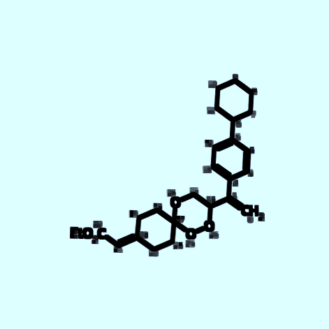 C=C(c1ccc(C2CCCCC2)cc1)C1COC2(CCC(=CC(=O)OCC)CC2)OO1